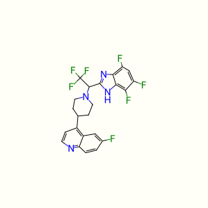 Fc1ccc2nccc(C3CCN(C(c4nc5c(F)cc(F)c(F)c5[nH]4)C(F)(F)F)CC3)c2c1